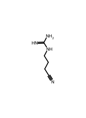 N#CCCCNC(=N)N